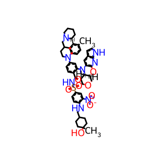 Cc1ccccc1[C@@H]1CCCCN1CC1CCN(c2ccc(C(=O)NS(=O)(=O)c3ccc(NCC4CCC(C)(O)CC4)c([N+](=O)[O-])c3)c(N3c4cc5cc[nH]c5nc4O[C@H]4COCC[C@@H]43)c2)CC1